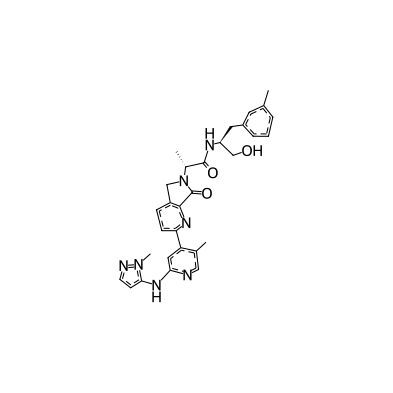 Cc1cccc(C[C@@H](CO)NC(=O)[C@@H](C)N2Cc3ccc(-c4cc(Nc5ccnn5C)ncc4C)nc3C2=O)c1